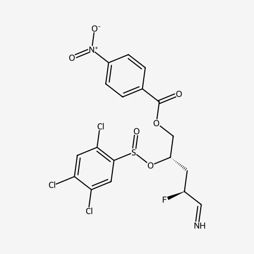 N=C[C@@H](F)C[C@@H](COC(=O)c1ccc([N+](=O)[O-])cc1)OS(=O)c1cc(Cl)c(Cl)cc1Cl